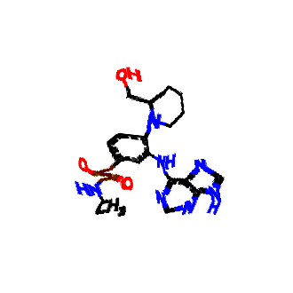 CNS(=O)(=O)c1ccc(N2CCCCC2CO)c(Nc2ncnc3[nH]cnc23)c1